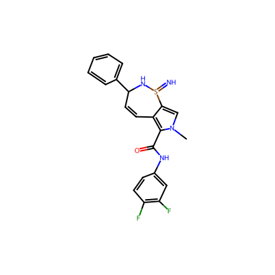 Cn1cc2c(c1C(=O)Nc1ccc(F)c(F)c1)C=CC(c1ccccc1)NS2=N